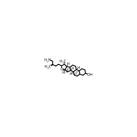 C=C(CN)CCC1O[C@H]2C[C@H]3[C@@H]4CCC5CC(O)CC[C@]5(C)[C@H]4CC[C@]3(C)[C@H]2[C@@H]1C